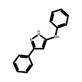 c1ccc(Nc2cc(-c3ccccc3)n[nH]2)cc1